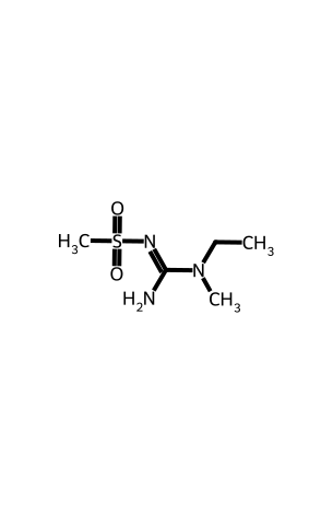 CCN(C)/C(N)=N/S(C)(=O)=O